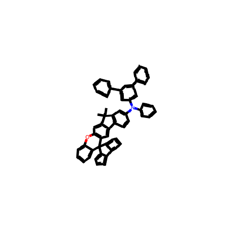 CC1(C)c2cc(N(c3ccccc3)c3cc(-c4ccccc4)cc(-c4ccccc4)c3)ccc2-c2cc3c(cc21)Oc1ccccc1C31c2ccccc2-c2ccccc21